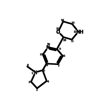 CN1CCCC1c1ccc(C2CNCCO2)nc1